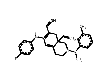 C=CC12CC(C=N)=C(Nc3ccc(F)cc3)C=C1CCN(N(C)c1cccc(C)c1)C2